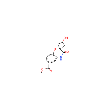 COC(=O)c1ccc2c(c1)NC(=O)C1(CC(O)C1)O2